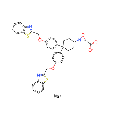 O=C([O-])C1ON1C1CCC(c2ccc(OCc3nc4ccccc4s3)cc2)(c2ccc(OCc3nc4ccccc4s3)cc2)CC1.[Na+]